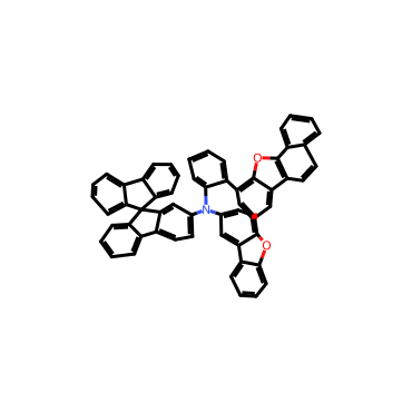 c1ccc(N(c2ccc3c(c2)C2(c4ccccc4-c4ccccc42)c2ccccc2-3)c2ccc3oc4ccccc4c3c2)c(-c2cccc3c2oc2c4ccccc4ccc32)c1